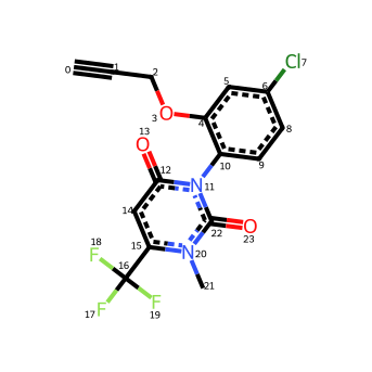 C#CCOc1cc(Cl)ccc1-n1c(=O)cc(C(F)(F)F)n(C)c1=O